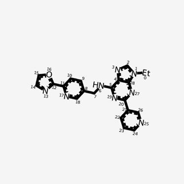 CCn1cnc2c(NCc3ccc(-c4ncco4)nc3)nc(-c3cccnc3)nc21